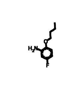 CCCCOc1ccc(F)cc1N